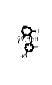 CC(=O)O.Cc1cc(O)ccc1Nc1c(Cl)cccc1Cl